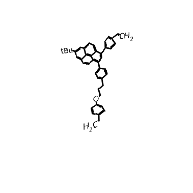 C=Cc1ccc(OCCCc2ccc(-c3cc(-c4ccc(C=C)cc4)c4ccc5cc(C(C)(C)C)cc6ccc3c4c56)cc2)cc1